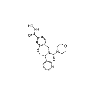 O=C(NO)c1ccc2c(c1)OCC(c1cccnc1)N(C(=O)N1CCOCC1)C2